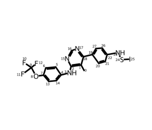 Cc1c(Nc2ccc(OC(F)(F)F)cc2)ncnc1-c1ccc(NSI)cc1